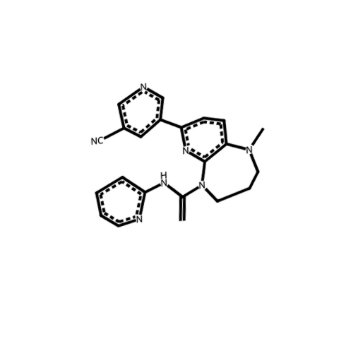 C=C(Nc1ccccn1)N1CCCN(C)c2ccc(-c3cncc(C#N)c3)nc21